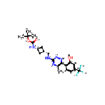 Cc1nc(NC[C@H]2C[C@@H](NC(=O)OC(C)(C)C)C2)nnc1-c1ccc(C(F)(F)F)cc1O